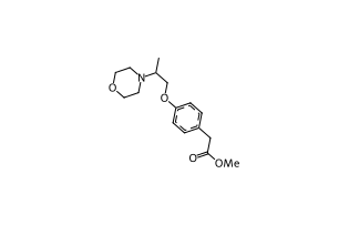 COC(=O)Cc1ccc(OCC(C)N2CCOCC2)cc1